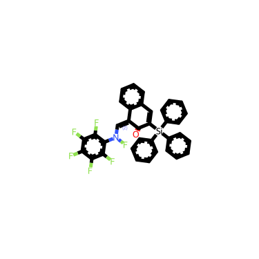 O=C1C([Si](c2ccccc2)(c2ccccc2)c2ccccc2)=Cc2ccccc2/C1=C/N(F)c1c(F)c(F)c(F)c(F)c1F